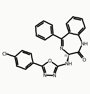 O=C1Nc2ccccc2C(c2ccccc2)=N[C@@H]1Nc1nnc(-c2ccc(Cl)cc2)o1